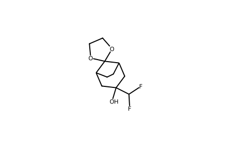 OC1(C(F)F)CC2CCC(C1)C21OCCO1